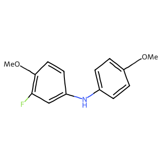 COc1ccc(Nc2ccc(OC)c(F)c2)cc1